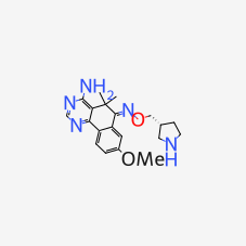 COc1ccc2c(c1)/C(=N\OC[C@@H]1CCNC1)C(C)(C)c1c(N)ncnc1-2